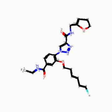 O=C(NCC(F)(F)F)c1ccc(-n2cc(C(=O)NCC3CCCO3)nn2)c(OCCCCCCF)c1